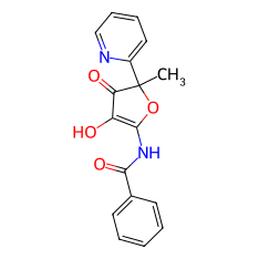 CC1(c2ccccn2)OC(NC(=O)c2ccccc2)=C(O)C1=O